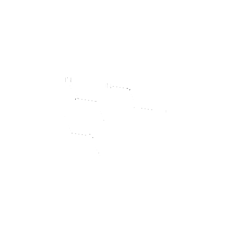 CC(=O)N1CCC(=N)C(NC(=O)OC(C)(C)C)C1